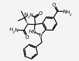 CC(C)(C)[C@H](C(N)=O)C1(C(N)=O)NN(Cc2ccccc2)c2ccc(C(N)=O)cc21